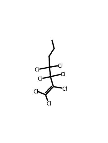 CCCC(Cl)(Cl)C(Cl)(Cl)C(Cl)=C(Cl)Cl